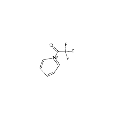 O=C([n+]1ccccc1)C(F)(F)F